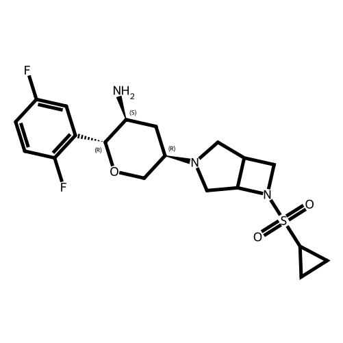 N[C@H]1C[C@@H](N2CC3CN(S(=O)(=O)C4CC4)C3C2)CO[C@@H]1c1cc(F)ccc1F